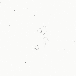 CCOC(=O)c1ccc(NC(=O)N[C@H]2CC[C@@H](Nc3nc4c(c(N(C)C)n3)CCCC4)CC2)cc1